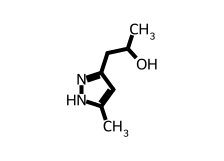 Cc1cc(CC(C)O)n[nH]1